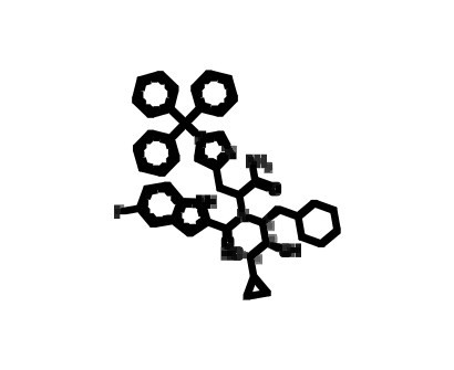 NC(=O)C(Cc1cn(C(c2ccccc2)(c2ccccc2)c2ccccc2)cn1)N(C(=O)c1cc2cc(F)ccc2[nH]1)[C@@H](CC1CCCCC1)[C@@H](O)[C@@H](O)C1CC1